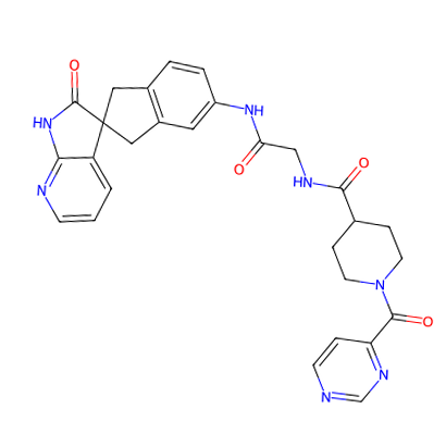 O=C(CNC(=O)C1CCN(C(=O)c2ccncn2)CC1)Nc1ccc2c(c1)CC1(C2)C(=O)Nc2ncccc21